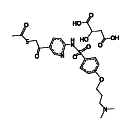 CC(=O)SCC(=O)c1ccc(NS(=O)(=O)c2ccc(OCCCN(C)C)cc2)nc1.O=C(O)CC(O)C(=O)O